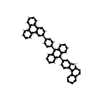 c1ccc2c(c1)ccc1oc3cc(-c4c5ccccc5c(-c5ccc(-c6ccc7c8ccccc8c8ccccc8c7c6)cc5)c5ccccc45)ccc3c12